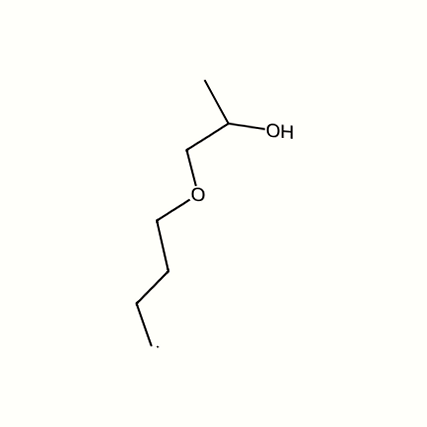 [CH2]CCCOCC(C)O